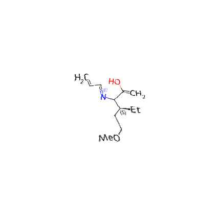 C=C/C=N/C(C(=C)O)[C@@H](CC)CCOC